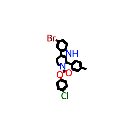 Cc1ccc(C2c3[nH]c4ccc(Br)cc4c3CCN2C(=O)Oc2ccc(Cl)cc2)cc1